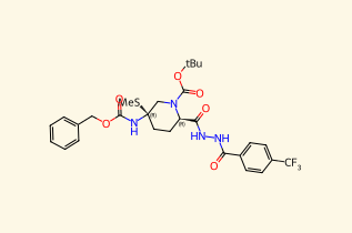 CS[C@]1(NC(=O)OCc2ccccc2)CC[C@H](C(=O)NNC(=O)c2ccc(C(F)(F)F)cc2)N(C(=O)OC(C)(C)C)C1